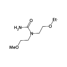 C[CH]OCCN(CCOC)C(N)=O